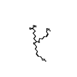 CC/C=C\CCCOC(CCCCC(=O)O)OCCC/C=C\CC